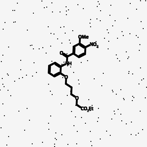 CCOC(=O)COCCCOc1ccccc1NC(=O)c1ccc([N+](=O)[O-])c(OC)c1